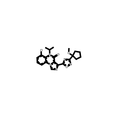 COC1(c2noc(-c3ncn4c3c(=O)n(C(C)C)c3c(Cl)cccc34)n2)CCCC1